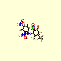 O=[N+]([O-])c1cc([N+](=O)[O-])c(Nc2c(Cl)c(Br)cc(C(F)(F)F)c2Cl)c([N+](=O)[O-])c1